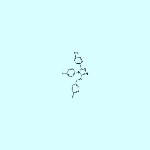 CC(C)(C)c1ccc(-c2nnc(SCc3ccc(F)cc3)n2-c2ccc(I)cc2)cc1